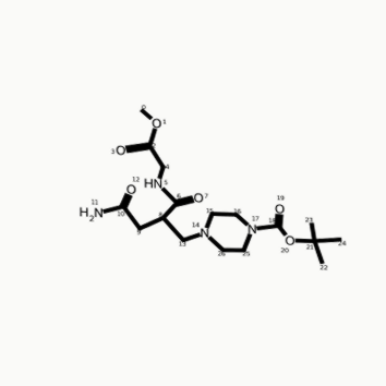 COC(=O)CNC(=O)C(CC(N)=O)CN1CCN(C(=O)OC(C)(C)C)CC1